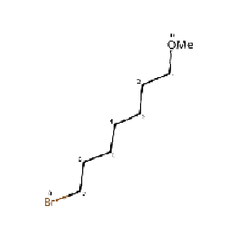 [CH2]OCCCCCCCBr